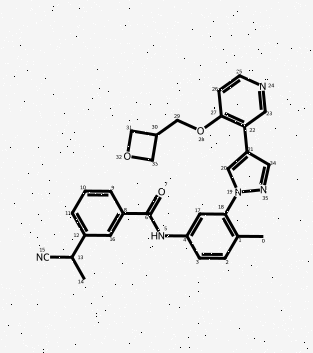 Cc1ccc(NC(=O)c2cccc(C(C)C#N)c2)cc1-n1cc(-c2cnccc2OCC2COC2)cn1